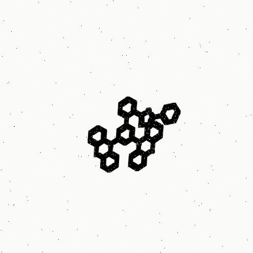 c1ccc(-c2nnc(-c3ccccc3-c3cc(N4c5ccccc5Sc5ccccc54)cc(N4c5ccccc5Sc5ccccc54)c3)o2)cc1